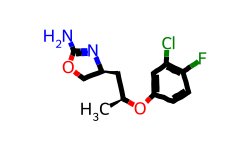 C[C@@H](C[C@H]1COC(N)=N1)Oc1ccc(F)c(Cl)c1